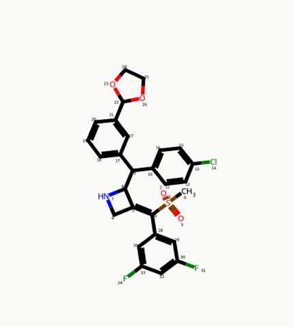 CS(=O)(=O)C(=C1CNC1C(c1ccc(Cl)cc1)c1cccc(C2OCCO2)c1)c1cc(F)cc(F)c1